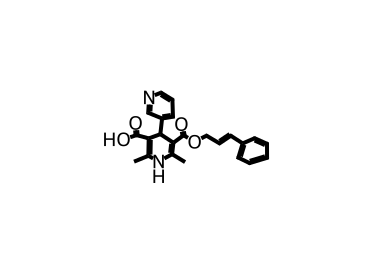 CC1=C(C(=O)O)C(c2cccnc2)C(C(=O)OCC=Cc2ccccc2)=C(C)N1